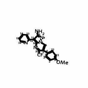 COc1ccc(-c2cn3nc(N)c(-c4ccccn4)c3nc2C(F)(F)F)cc1